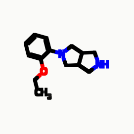 CCOc1ccccc1N1CC2CNCC2C1